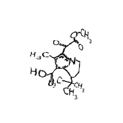 COC(=O)C(=O)c1c(C)c(C(=O)O)c2n1CCC2C(C)(C)C